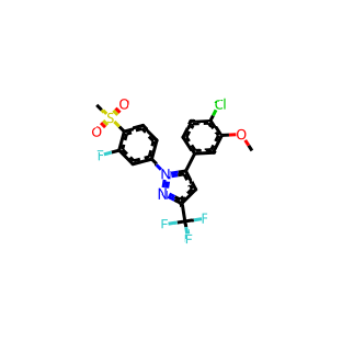 COc1cc(-c2cc(C(F)(F)F)nn2-c2ccc(S(C)(=O)=O)c(F)c2)ccc1Cl